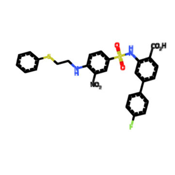 O=C(O)c1ccc(-c2ccc(F)cc2)cc1NS(=O)(=O)c1ccc(NCCSc2ccccc2)c([N+](=O)[O-])c1